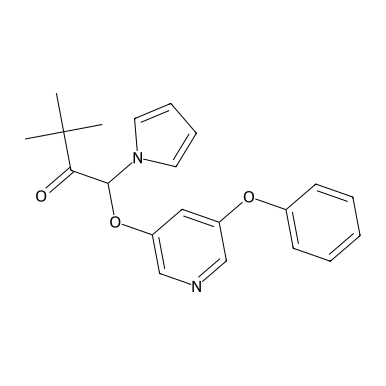 CC(C)(C)C(=O)C(Oc1cncc(Oc2ccccc2)c1)n1cccc1